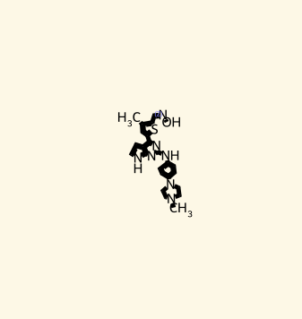 Cc1cc(-c2nc(Nc3ccc(N4CCN(C)CC4)cc3)nc3[nH]ccc23)sc1/C=N\O